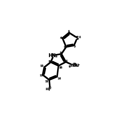 CCC[CH]c1c(-c2ccsc2)[nH]c2ccc(F)cc12